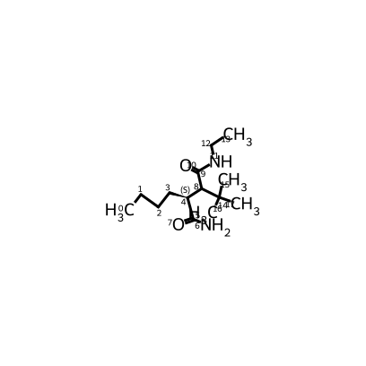 CCCC[C@H](C(N)=O)C(C(=O)NCC)C(C)(C)C